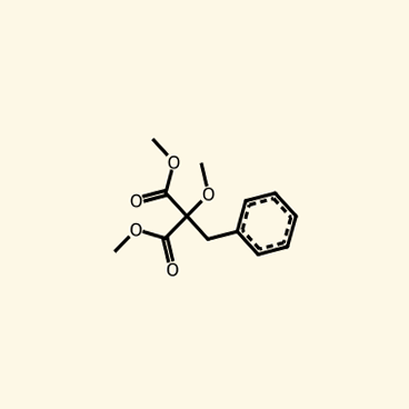 COC(=O)C(Cc1ccccc1)(OC)C(=O)OC